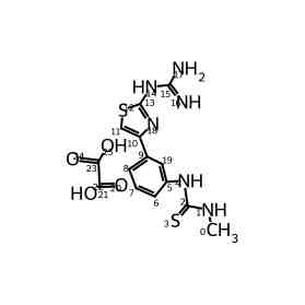 CNC(=S)Nc1cccc(-c2csc(NC(=N)N)n2)c1.O=C(O)C(=O)O